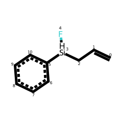 C=CC[SiH](F)c1ccccc1